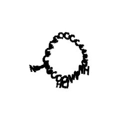 Cl.N#Cc1ccccccccccco[nH]nncccc1